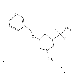 CN1CC(OCc2ccccc2)CC(C(C)(F)F)C1